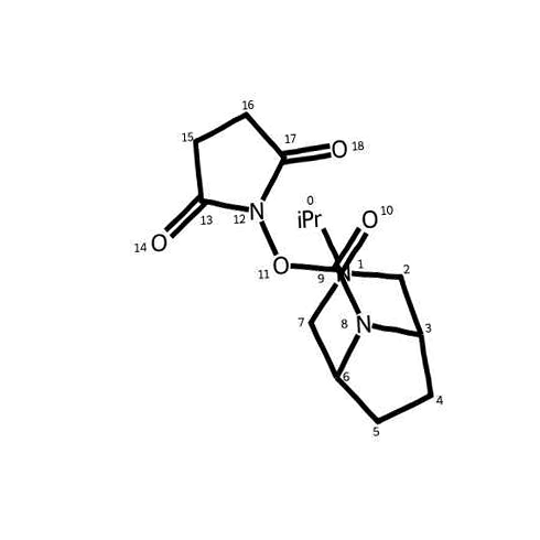 CC(C)N1CC2CCC(C1)N2C(=O)ON1C(=O)CCC1=O